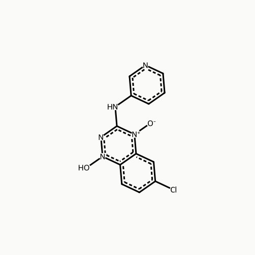 [O-][n+]1c(Nc2cccnc2)n[n+](O)c2ccc(Cl)cc21